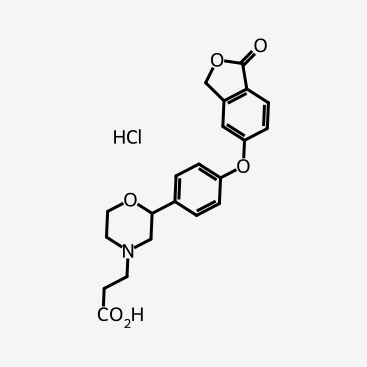 Cl.O=C(O)CCN1CCOC(c2ccc(Oc3ccc4c(c3)COC4=O)cc2)C1